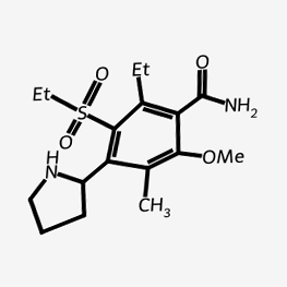 CCc1c(C(N)=O)c(OC)c(C)c(C2CCCN2)c1S(=O)(=O)CC